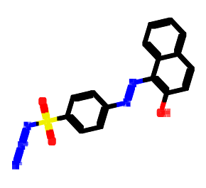 [N-]=[N+]=NS(=O)(=O)c1ccc(/N=N/c2c(O)ccc3ccccc23)cc1